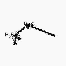 B[C@@H]1O[C@H](COC(C)C)C(OC(C)C)C1OCCCCCCNC(=O)C(C)OC(=O)CCCCCCCCCCCCCCC